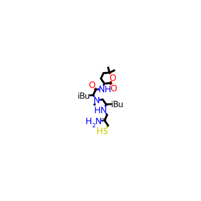 CCC(C)C(CN(C)C(C(=O)NC1CCC(C)(C)OC1=O)C(C)CC)NC[C@H](N)CS